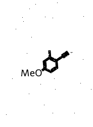 [C]#Cc1ccc(OC)cc1C